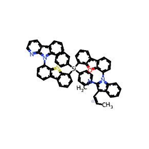 C=Nc1c(/C=C\C)c2ccccc2n1-c1cccc2c1oc1c([Si](c3ccccc3)(c3ccccc3)c3cccc4c3sc3c(-n5c6ccccc6c6cccnc65)cccc34)cccc12